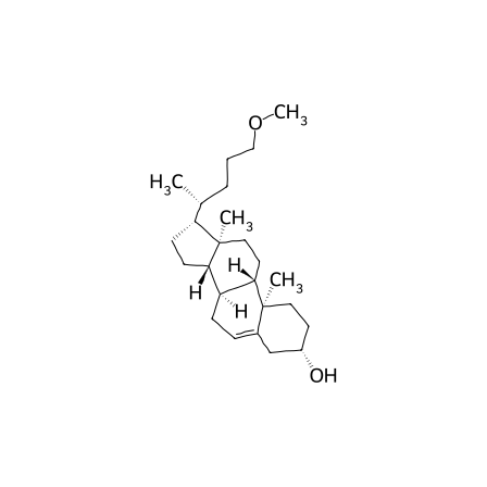 COCCC[C@@H](C)[C@H]1CC[C@H]2[C@@H]3CC=C4C[C@@H](O)CC[C@]4(C)[C@H]3CC[C@]12C